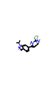 CC(C)n1ncc2ccc(-c3ccnc(Cl)n3)cc21